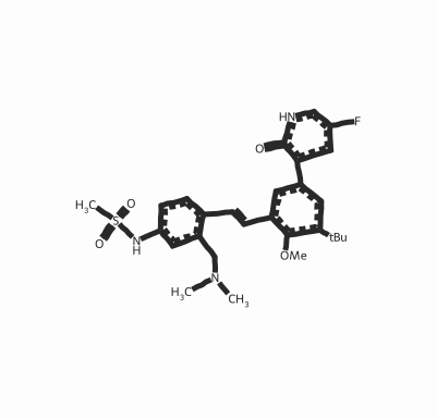 COc1c(/C=C/c2ccc(NS(C)(=O)=O)cc2CN(C)C)cc(-c2cc(F)c[nH]c2=O)cc1C(C)(C)C